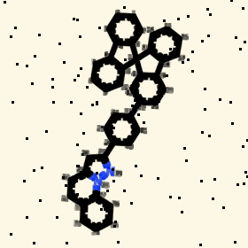 c1ccc2c(c1)-c1ccccc1C21c2ccccc2-c2ccc(-c3ccc(-c4cc5ccc6ccccc6n5n4)cc3)cc21